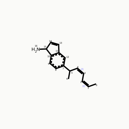 C/C=C\C=C/C(C)c1ccc2c(c1)C=CC2N